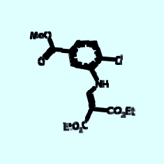 CCOC(=O)C(=CNc1cc(C(=O)OC)ccc1Cl)C(=O)OCC